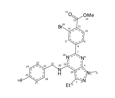 CCc1nn(C)c2nc(-c3ccc(C(=O)OC)c(Br)c3)nc(NCc3ccc(F)cc3)c12